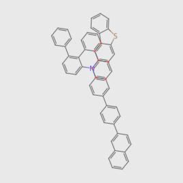 c1ccc(-c2ccccc2-c2c(-c3ccccc3)cccc2N(c2ccc(-c3ccc(-c4ccc5ccccc5c4)cc3)cc2)c2ccc3sc4ccccc4c3c2)cc1